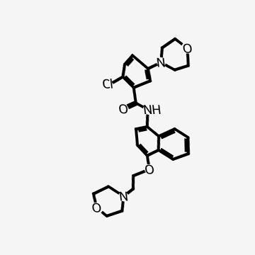 O=C(Nc1ccc(OCCN2CCOCC2)c2ccccc12)c1cc(N2CCOCC2)ccc1Cl